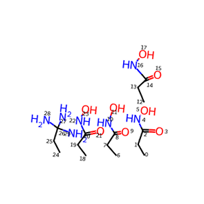 CCC(=O)NO.CCC(=O)NO.CCC(=O)NO.CCC(=O)NO.CCC(N)(N)N